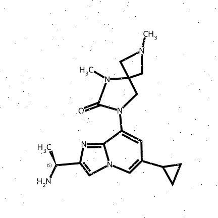 C[C@H](N)c1cn2cc(C3CC3)cc(N3CC4(CN(C)C4)N(C)C3=O)c2n1